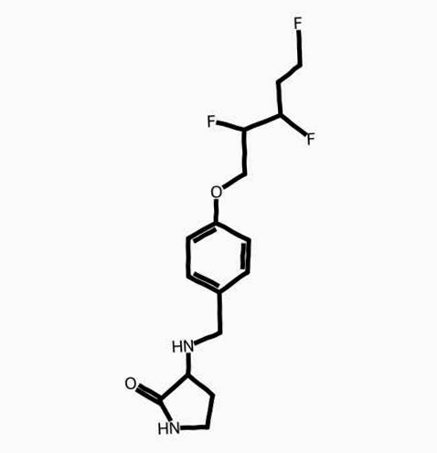 O=C1NCCC1NCc1ccc(OCC(F)C(F)CCF)cc1